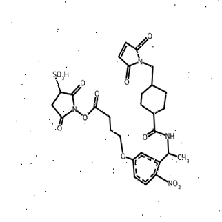 CC(NC(=O)C1CCC(CN2C(=O)C=CC2=O)CC1)c1cc(OCCCC(=O)ON2C(=O)CC(S(=O)(=O)O)C2=O)ccc1[N+](=O)[O-]